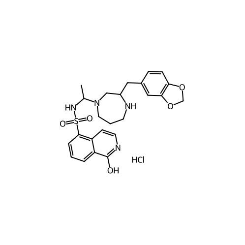 CC(NS(=O)(=O)c1cccc2c(O)nccc12)N1CCCNC(Cc2ccc3c(c2)OCO3)C1.Cl